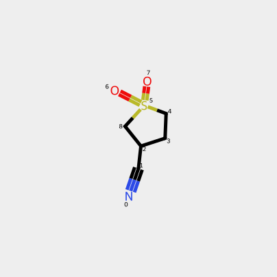 N#CC1CCS(=O)(=O)C1